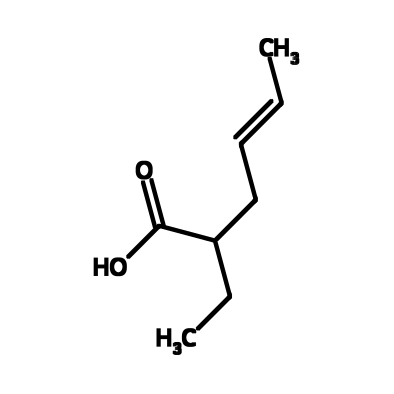 CC=CCC(CC)C(=O)O